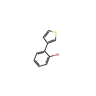 Brc1ccccc1-c1ccsc1